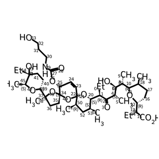 CC[C@@H](C(=O)[C@@H](C)[C@@H](O)[C@H](C)[C@@H]1O[C@@H]([C@@H](CC)C(=O)O)CCC1C)[C@H]1O[C@]2(C=C[C@@H](OC(=O)NCCCO)[C@]3(CC[C@@](C)([C@H]4CC[C@](O)(CC)[C@H](C)O4)O3)O2)[C@H](C)C[C@@H]1C